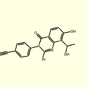 C#Cc1ccc(-n2c(C(C)C)nc3c(C(C)O)c(O)ccc3c2=O)cc1